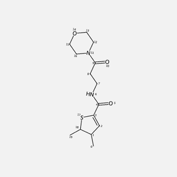 CC1C=C(C(=O)NCCC(=O)N2CCOCC2)SC1C